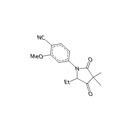 CCC1C(=O)C(C)(C)C(=O)N1c1ccc(C#N)c(OC)c1